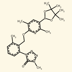 Cc1cc(B2OC(C)(C)C(C)(C)O2)c(C)nc1OCc1c(C)cccc1-n1nnn(C)c1=O